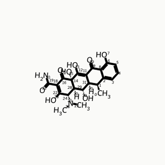 C[C@@H]1c2cccc(O)c2C(=O)C2=C(O)[C@]3(O)C(=O)C(C(N)=O)=C(O)[C@@H](N(C)C)[C@@H]3[C@@H](O)[C@@H]21